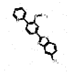 COc1cc(-c2nc3cc(C)ccc3o2)ccc1-c1ccccn1